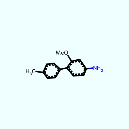 COc1cc(N)ccc1-c1ccc(C)cc1